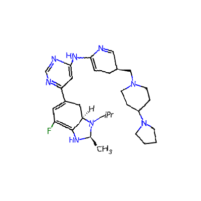 CC(C)N1[C@@H]2CC(c3cc(NC4=CC[C@H](CN5CCC(N6CCCC6)CC5)C=N4)ncn3)=CC(F)=C2N[C@@H]1C